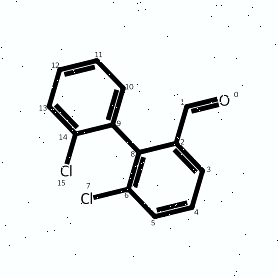 O=Cc1cccc(Cl)c1-c1ccccc1Cl